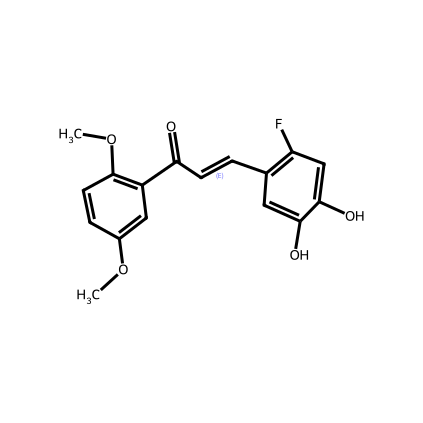 COc1ccc(OC)c(C(=O)/C=C/c2cc(O)c(O)cc2F)c1